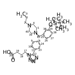 C=CCN1CCN([C@@H](c2ccc(-c3nnnn3CCCC(=O)O)cc2)c2cccc(O[Si](C)(C)C(C)(C)C)c2)CC1